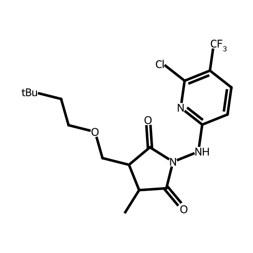 CC1C(=O)N(Nc2ccc(C(F)(F)F)c(Cl)n2)C(=O)C1COCCC(C)(C)C